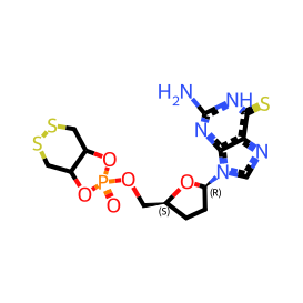 Nc1nc2c(ncn2[C@H]2CC[C@@H](COP3(=O)OC4CSSCC4O3)O2)c(=S)[nH]1